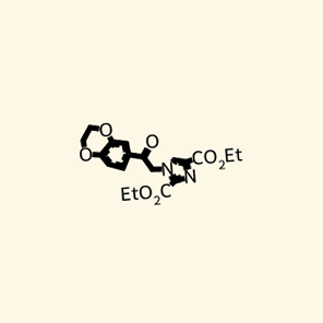 CCOC(=O)c1cn(CC(=O)c2ccc3c(c2)OCCO3)c(C(=O)OCC)n1